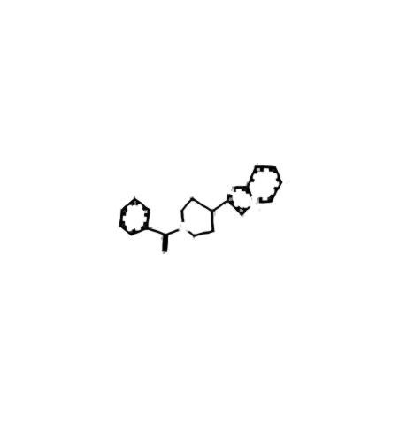 O=C(c1ccccc1)N1CCC(c2cn3ccccc3n2)CC1